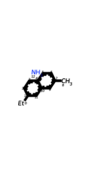 CCc1ccc2ccc(C)cc2c1.N